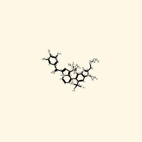 CNc1cc(C(=O)c2cc(F)c(F)c(F)c2)n2cccc(-c3c(C(F)(F)F)cc4c(nc(COC)n4C)c3OC)c12